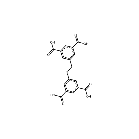 O=C(O)c1cc(COc2cc(C(=O)O)cc(C(=O)O)c2)cc(C(=O)O)c1